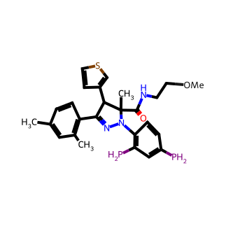 COCCNC(=O)C1(C)C(c2ccsc2)C(c2ccc(C)cc2C)=NN1c1ccc(P)cc1P